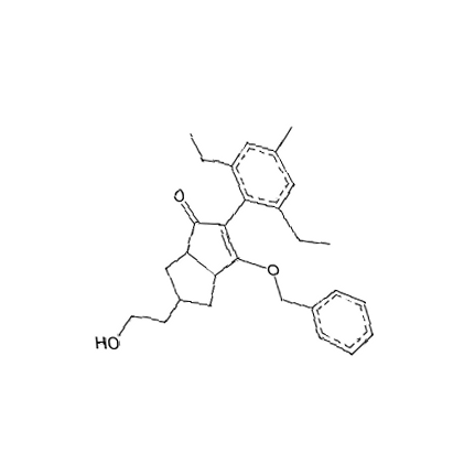 CCc1cc(C)cc(CC)c1C1=C(OCc2ccccc2)C2CC(CCO)CC2C1=O